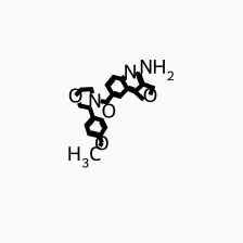 COc1ccc(C2COCCN2C(=O)c2ccc3nc(N)c4c(c3c2)COC4)cc1